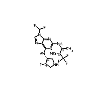 C[C@H](Nc1nc(N[C@@H]2CNC[C@H]2F)c2ncn(C(F)F)c2n1)[C@@H](O)C(F)(F)F